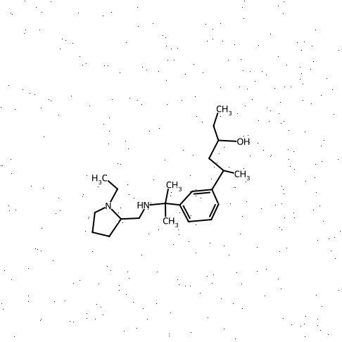 CCC(O)CC(C)c1cccc(C(C)(C)NCC2CCCN2CC)c1